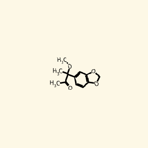 COC(C)(C(C)=O)c1ccc2c(c1)OCO2